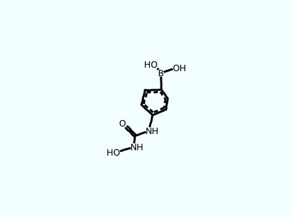 O=C(NO)Nc1ccc(B(O)O)cc1